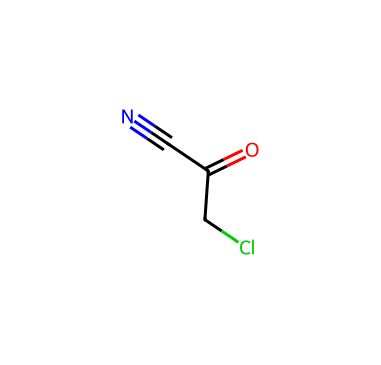 N#CC(=O)CCl